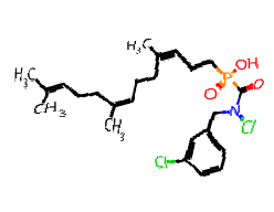 CC(C)=CCCC(C)=CCCC(C)=CCCP(=O)(O)C(=O)N(Cl)Cc1cccc(Cl)c1